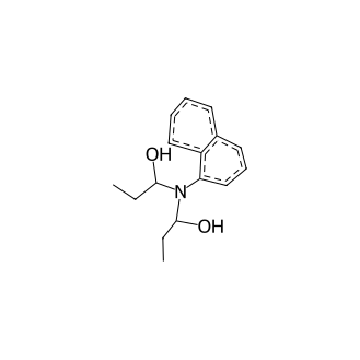 CCC(O)N(c1cccc2ccccc12)C(O)CC